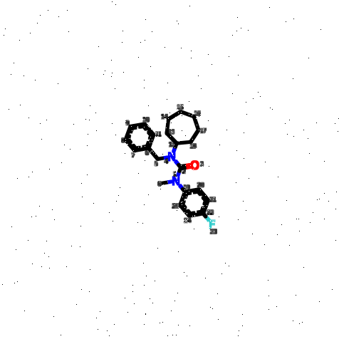 CN(C(=O)N(Cc1ccccc1)C1CCCCCC1)c1ccc(F)cc1